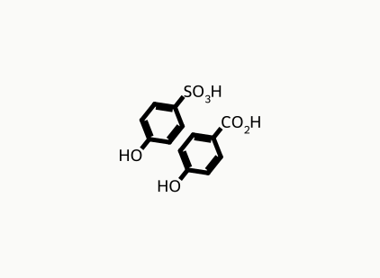 O=C(O)c1ccc(O)cc1.O=S(=O)(O)c1ccc(O)cc1